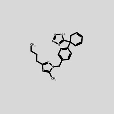 CCCCc1nc(C)n(Cc2ccc(C3(c4nnn[nH]4)C=CC=CC3)cc2)n1